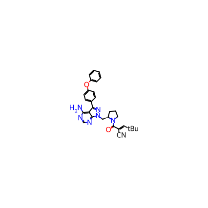 CC(C)(C)C=C(C#N)C(=O)N1CCC[C@@H]1Cn1nc(-c2ccc(Oc3ccccc3)cc2)c2c(N)ncnc21